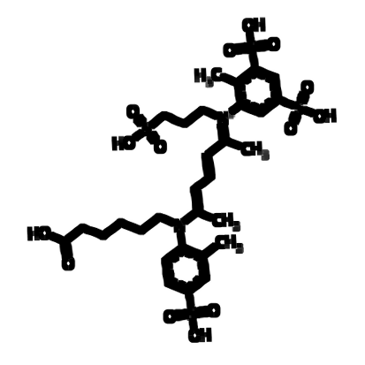 C\C(=C/C=C/C(C)=[N+](\CCCS(=O)(=O)O)c1cc(S(=O)(=O)O)cc(S(=O)(=O)O)c1C)N(CCCCCC(=O)O)c1ccc(S(=O)(=O)O)cc1C